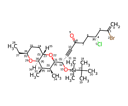 C=C(Br)C[C@H](Cl)CCC(=O)C#C[C@H](O[Si](C)(C)C(C)(C)C)[C@@H]1O[C@H]2CC[C@H](CC)O[C@@H]2[C@H](C)[C@@H]1C